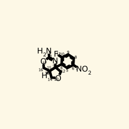 NC1=NC2(c3cc([N+](=O)[O-])ccc3F)COC[C@H]2CO1